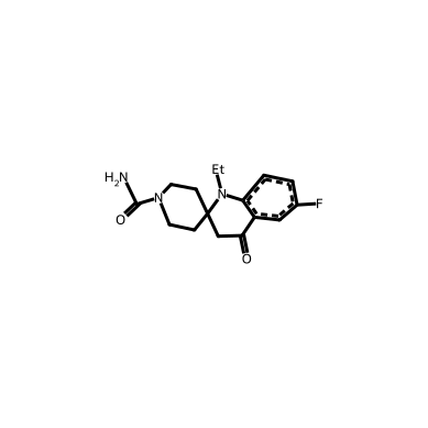 CCN1c2ccc(F)cc2C(=O)CC12CCN(C(N)=O)CC2